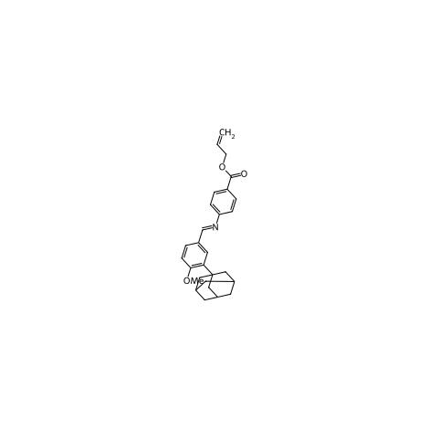 C=CCOC(=O)c1ccc(N=Cc2ccc(OC)c(C34CC5CC(CC(C5)C3)C4)c2)cc1